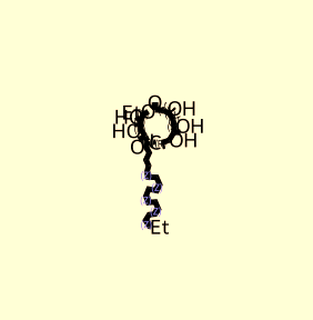 CC/C=C\C/C=C\C/C=C\C/C=C\C/C=C\CCCC(=O)N1C[C@H](C)CC(C)(O)[C@@H](O)[C@@H](C)[C@H](O)[C@@H](C)C(=O)O[C@H](CC)[C@@](C)(O)[C@H](O)C1C